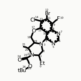 CCC1CN2c3ncnc4c(F)c(Br)c(Cl)c(c34)OCC2C(C)N1C(=O)OC(C)(C)C